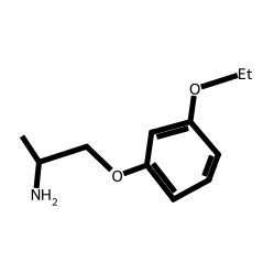 CCOc1cccc(OCC(C)N)c1